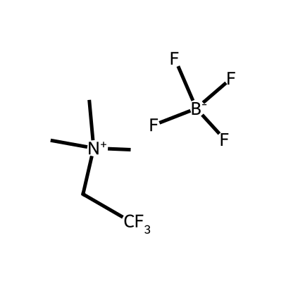 C[N+](C)(C)CC(F)(F)F.F[B-](F)(F)F